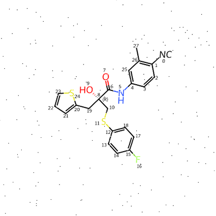 [C-]#[N+]c1ccc(NC(=O)[C@@](O)(CSc2ccc(F)cc2)Cc2cccs2)cc1C